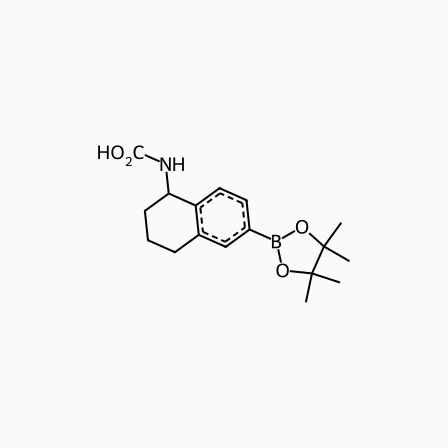 CC1(C)OB(c2ccc3c(c2)CCCC3NC(=O)O)OC1(C)C